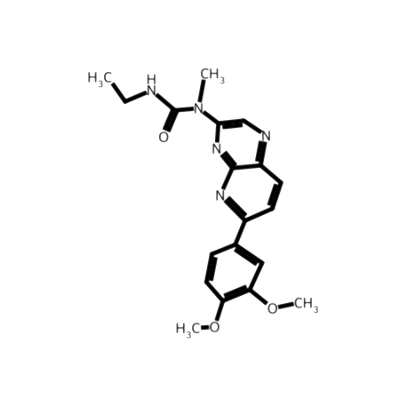 CCNC(=O)N(C)c1cnc2ccc(-c3ccc(OC)c(OC)c3)nc2n1